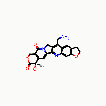 CC[C@@]1(O)C(=O)OCc2c1cc1n(c2=O)Cc2c-1nc1cc3c(cc1c2CN)CCO3